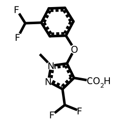 Cn1nc(C(F)F)c(C(=O)O)c1Oc1cccc(C(F)F)c1